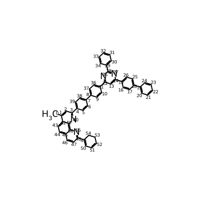 Cc1cc(-c2ccc(-c3ccc(-c4cc(-c5ccc(-c6ccccc6)cc5)nc(-c5ccccc5)n4)cc3)cc2)nc2c1ccc1ccc(C3=CC=CCC3)nc12